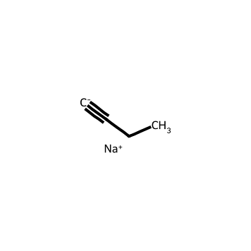 [C-]#CCC.[Na+]